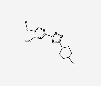 CCOc1ccc(-c2noc(N3CCC(C)CC3)n2)cc1OC